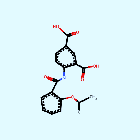 CC(C)Oc1ccccc1C(=O)Nc1ccc(C(=O)O)cc1C(=O)O